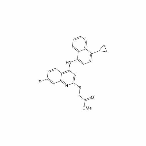 COC(=O)CSc1nc(Nc2ccc(C3CC3)c3ccccc23)c2ccc(F)cc2n1